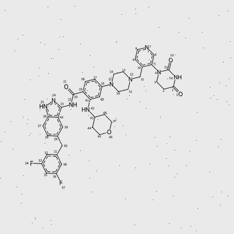 O=C1CCN(c2cnccc2CN2CCN(c3ccc(C(=O)Nc4n[nH]c5ccc(Cc6cc(F)cc(F)c6)cc45)c(NC4CCOCC4)c3)CC2)C(=O)N1